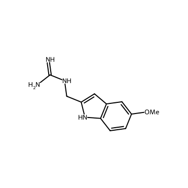 COc1ccc2[nH]c(CNC(=N)N)cc2c1